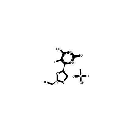 CS(=O)(=O)O.Nc1nc(=O)[nH]c([C@H]2CS[C@@H](CO)O2)c1F